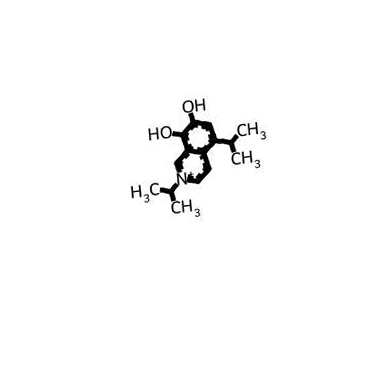 CC(C)c1cc(O)c(O)c2c[n+](C(C)C)ccc12